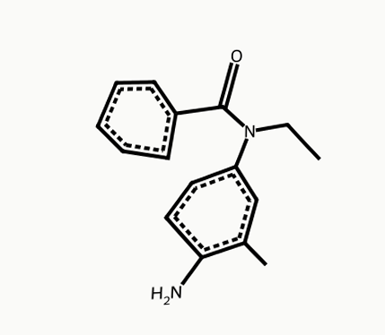 CCN(C(=O)c1ccccc1)c1ccc(N)c(C)c1